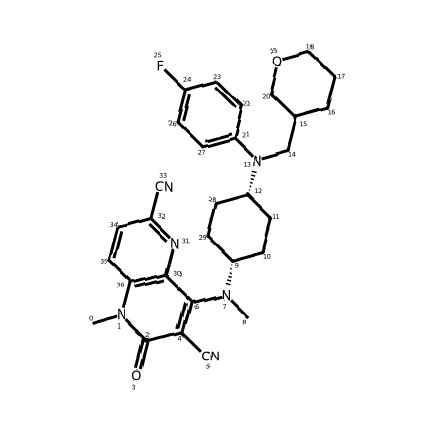 Cn1c(=O)c(C#N)c(N(C)[C@H]2CC[C@@H](N(CC3CCCOC3)c3ccc(F)cc3)CC2)c2nc(C#N)ccc21